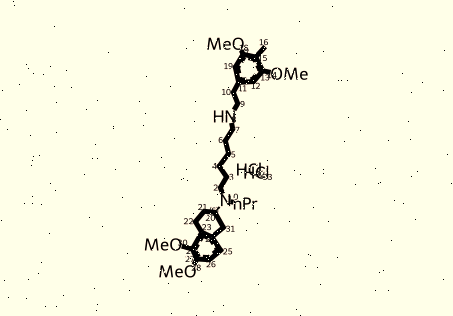 CCCN(CCCCCCNCCc1cc(OC)c(C)c(OC)c1)[C@H]1CCc2c(ccc(OC)c2OC)C1.Cl.Cl